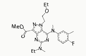 CCOCCn1nc(C(=O)OC)c2nc(N(C)CC)nc(N(C)c3ccc(F)c(C)c3)c21